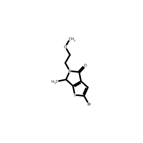 COCCN1C(=O)c2cc(Br)sc2C1C